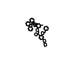 COCOc1ccc(C(=O)COc2cc(C)ccc2CP(Br)(c2ccccc2)(c2ccccc2)c2ccccc2)c(OCc2ccccc2)c1